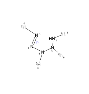 [2H]/N=N/N([2H])N([2H])N[2H]